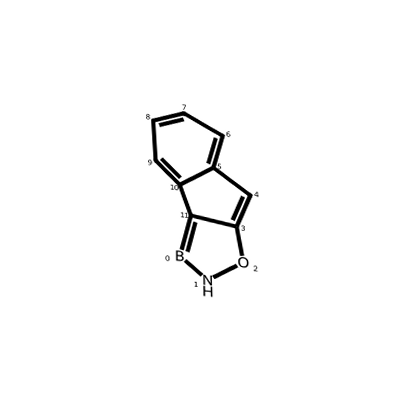 b1[nH]oc2cc3ccccc3c1-2